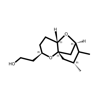 CC1[C@H](C)C[C@]23C[C@H]1O[C@H]2CC[C@H](CCO)O3